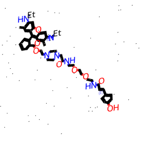 CC/N=c1\cc2oc3cc(NCC)c(C)cc3c(-c3ccccc3C(=O)OCCN3CCN(CC(=O)NCCOCCOCCNC(=O)/C=C/c4ccc(O)cc4)CC3)c-2cc1C